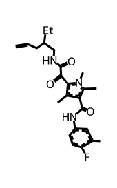 C=CCC(CC)CNC(=O)C(=O)c1c(C)c(C(=O)Nc2ccc(F)c(C)c2)c(C)n1C